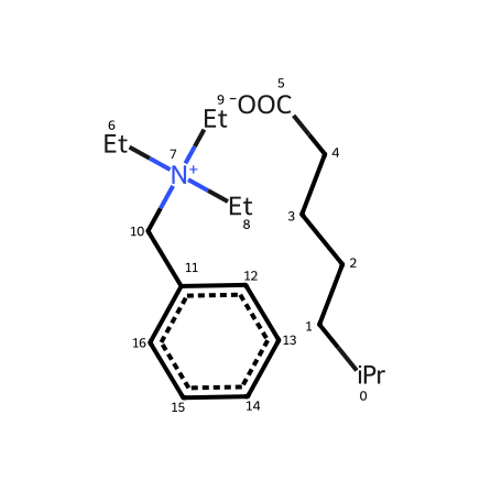 CC(C)CCCCC(=O)[O-].CC[N+](CC)(CC)Cc1ccccc1